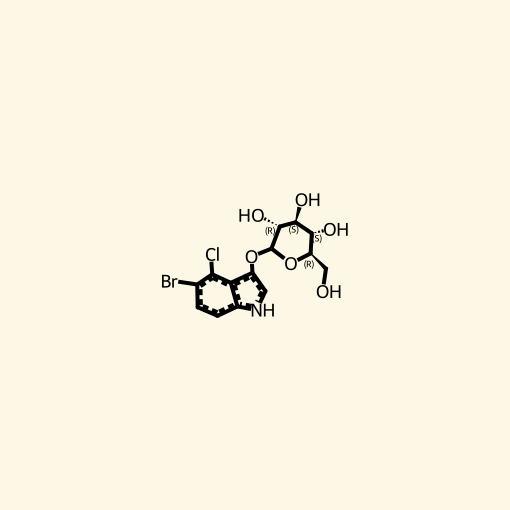 OC[C@H]1OC(Oc2c[nH]c3ccc(Br)c(Cl)c23)[C@H](O)[C@@H](O)[C@@H]1O